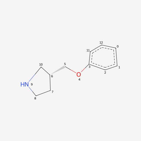 c1ccc(OC[C@@H]2CCNC2)cc1